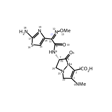 CNC1=C(C(=O)O)N2C(=O)[C@@H](NC(=O)/C(=N\OC)c3csc(N)n3)CN2C1